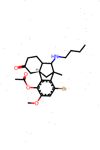 CCCCNC1C2CCC(=O)C[C@]23CC1(C)c1c(Br)cc(OC)c(OC(C)=O)c13